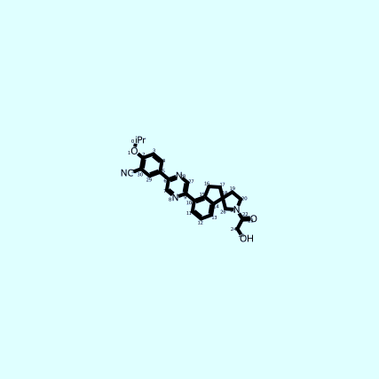 CC(C)Oc1ccc(-c2cnc(-c3cccc4c3CCC43CCN(C(=O)CO)C3)cn2)cc1C#N